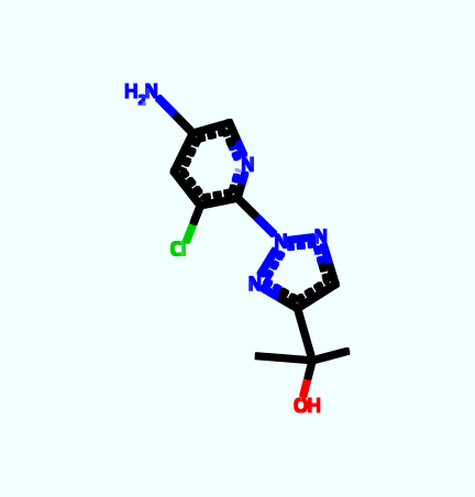 CC(C)(O)c1cnn(-c2ncc(N)cc2Cl)n1